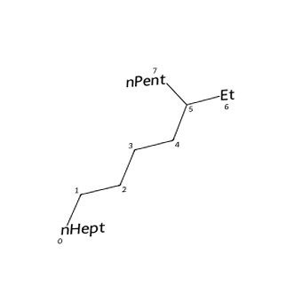 [CH2]CCCCCCCCCCC(CC)CCCC[CH2]